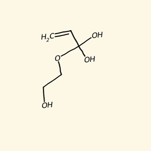 C=CC(O)(O)OCCO